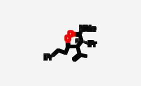 C=C(C)C(C(=O)CCC(C)C)[C@H](C(=O)NC)C(C)C